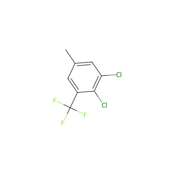 Cc1cc(Cl)c(Cl)c(C(F)(F)F)c1